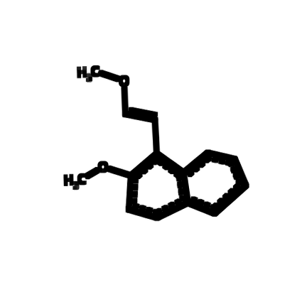 COC=Cc1c(OC)ccc2ccccc12